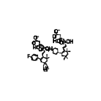 CC1(C)CC(c2ccc(F)cc2)=C(C=CP(=O)(O)C[C@@H](O)CC(=O)[O-])C(C)(C)C1.CC1(C)CC(c2ccc(F)cc2)=C(C=CP(=O)(O)C[C@@H](O)CC(=O)[O-])C(C)(C)C1.[Li+].[Li+]